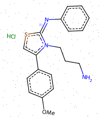 COc1ccc(-c2cs/c(=N/c3ccccc3)n2CCCN)cc1.Cl